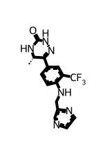 C[C@@H]1NC(=O)NN=C1c1ccc(NCc2cnccn2)c(C(F)(F)F)c1